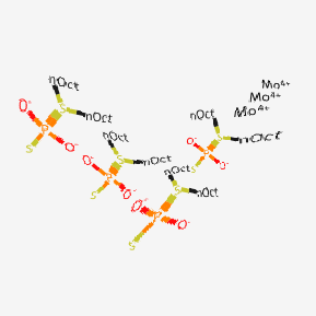 CCCCCCCCS(CCCCCCCC)=P([O-])([O-])[S-].CCCCCCCCS(CCCCCCCC)=P([O-])([O-])[S-].CCCCCCCCS(CCCCCCCC)=P([O-])([O-])[S-].CCCCCCCCS(CCCCCCCC)=P([O-])([O-])[S-].[Mo+4].[Mo+4].[Mo+4]